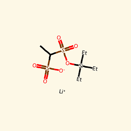 CC[Si](CC)(CC)OS(=O)(=O)C(C)S(=O)(=O)[O-].[Li+]